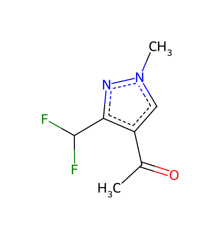 CC(=O)c1cn(C)nc1C(F)F